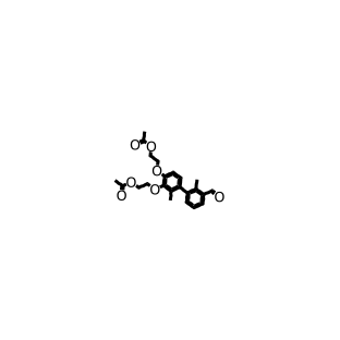 CC(=O)OCCOc1ccc(-c2cccc(C=O)c2C)c(C)c1OCCOC(C)=O